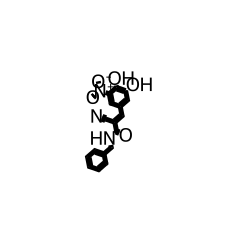 N#C/C(=C\c1cc(O)c(O)c([N+](=O)[O-])c1)C(=O)NCc1ccccc1